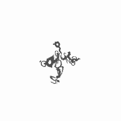 CCOC(=O)c1nc(CN(CCCc2ccccc2)C(=O)[C@H](OCOCC[Si](C)(C)C)c2ccc(OC)cc2)sc1CC